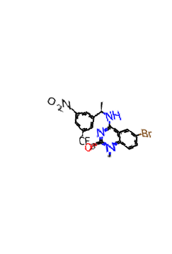 C[C@@H](Nc1nc(=O)n(C)c2ccc(Br)cc12)c1cc([N+](=O)[O-])cc(C(F)(F)F)c1